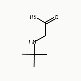 CC(C)(C)NCC(=O)S